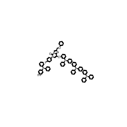 Cc1cn(-c2ccc(F)cc2)c(=O)n2cc(COc3ccccc3)nc12.[Pd].c1ccc(P(c2ccccc2)c2ccccc2)cc1.c1ccc(P(c2ccccc2)c2ccccc2)cc1.c1ccc(P(c2ccccc2)c2ccccc2)cc1.c1ccc(P(c2ccccc2)c2ccccc2)cc1